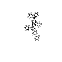 c1ccc(-c2ccc(C3N=C(n4c5ccccc5c5cc(-n6c7ccccc7c7ccccc76)ccc54)NC(c4ccccc4)N3)cc2)cc1